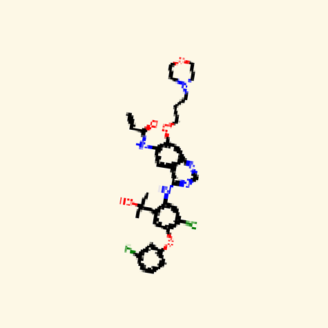 C=CC(=O)Nc1cc2c(Nc3cc(Cl)c(Oc4cccc(F)c4)cc3C(C)(C)O)ncnc2cc1OCCCN1CCOCC1